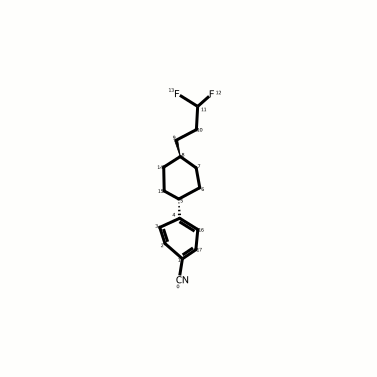 N#Cc1ccc([C@H]2CC[C@H](CCC(F)F)CC2)cc1